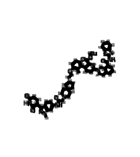 Cc1c(OCC[C@@H]2CCC3(CCN(CC(=O)Nc4ccc5c(C6CCC(=O)NC6=O)nn(C)c5c4)CC3)C2)cccc1-c1ccc(N2CCc3cccc(C(=O)Nc4nc5ccccc5s4)c3C2)nc1C(=O)OC(C)(C)C